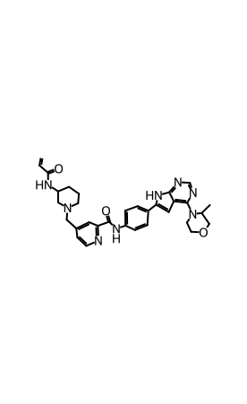 C=CC(=O)NC1CCCN(Cc2ccnc(C(=O)Nc3ccc(-c4cc5c(N6CCOCC6C)ncnc5[nH]4)cc3)c2)C1